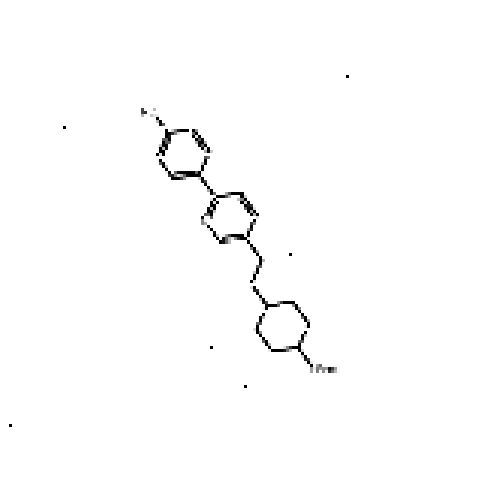 CCCCCC1CCC(CCc2ccc(-c3ccc(C#N)cc3)nc2)CC1